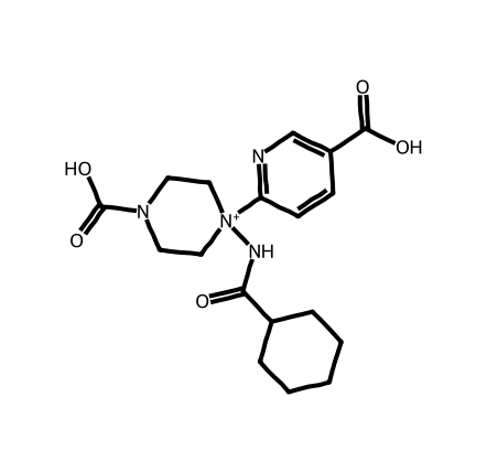 O=C(O)c1ccc([N+]2(NC(=O)C3CCCCC3)CCN(C(=O)O)CC2)nc1